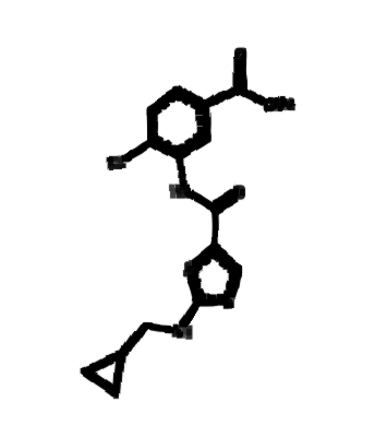 CCc1ccc(C(=O)OC)cc1NC(=O)c1cnc(NCC2CC2)s1